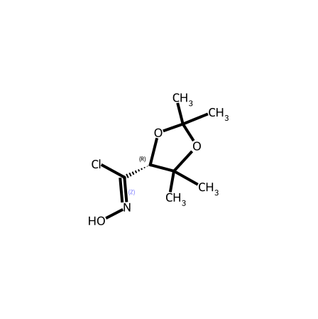 CC1(C)O[C@@H](/C(Cl)=N/O)C(C)(C)O1